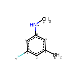 Bc1cc(F)cc(NC)c1